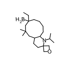 BC1(CC)CCCCC2C(CCC3(COC3)N2C(C)C)CC(C)(C)C1